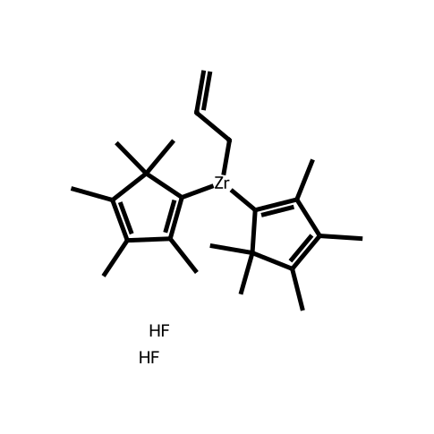 C=C[CH2][Zr]([C]1=C(C)C(C)=C(C)C1(C)C)[C]1=C(C)C(C)=C(C)C1(C)C.F.F